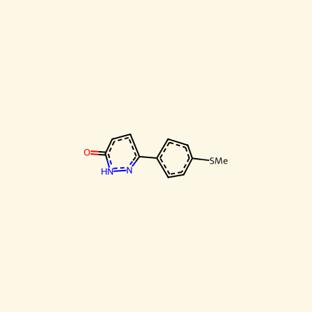 CSc1ccc(-c2ccc(=O)[nH]n2)cc1